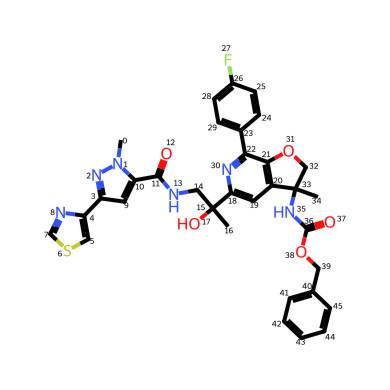 Cn1nc(-c2cscn2)cc1C(=O)NCC(C)(O)c1cc2c(c(-c3ccc(F)cc3)n1)OCC2(C)NC(=O)OCc1ccccc1